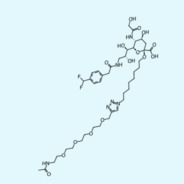 CC(=O)NCCOCCOCCOCCOCc1cn(CCCCCCCCO[C@]2(C(=O)O)C[C@H](O)[C@@H](NC(=O)CO)[C@H]([C@H](O)[C@H](O)CNC(=O)Cc3ccc(C(F)F)cc3)O2)nn1